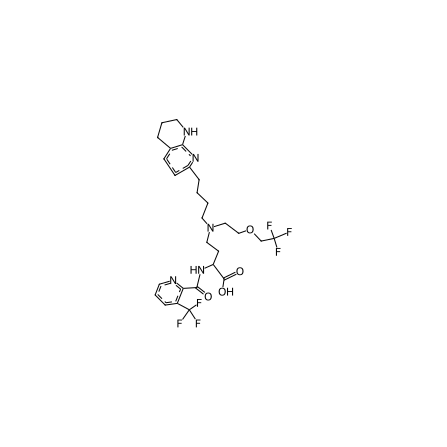 O=C(NC(CCN(CCCCc1ccc2c(n1)NCCC2)CCOCC(F)(F)F)C(=O)O)c1ncccc1C(F)(F)F